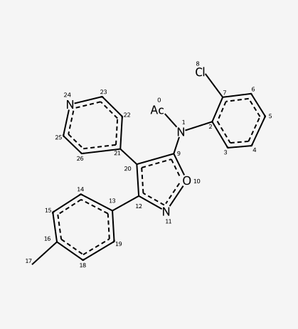 CC(=O)N(c1ccccc1Cl)c1onc(-c2ccc(C)cc2)c1-c1ccncc1